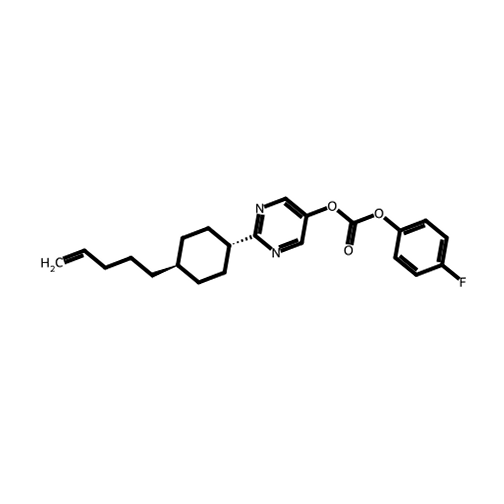 C=CCCC[C@H]1CC[C@H](c2ncc(OC(=O)Oc3ccc(F)cc3)cn2)CC1